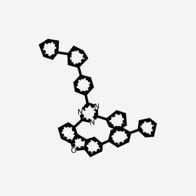 c1ccc(-c2ccc(-c3ccc4oc5cccc(-c6nc(-c7ccccc7)nc(-c7ccc(-c8cccc(-c9ccccc9)c8)cc7)n6)c5c4c3)cc2)cc1